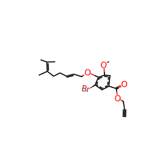 C#CCOC(=O)c1cc(Br)c(OC/C=C/CCC(C)=C(C)C)c(OC)c1